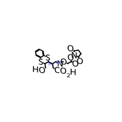 O=C(O)CC(/C=N/OCC(=O)ON1C(=O)CCC1=O)=C1/Sc2ccccc2SC1CO